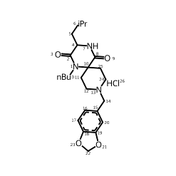 CCCCN1C(=O)C(CC(C)C)NC(=O)C12CCN(Cc1ccc3c(c1)OCO3)CC2.Cl